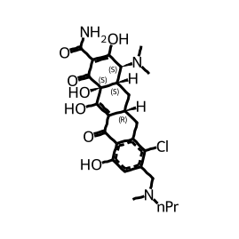 CCCN(C)Cc1cc(O)c2c(c1Cl)C[C@H]1C[C@H]3[C@H](N(C)C)C(O)=C(C(N)=O)C(=O)[C@@]3(O)C(O)=C1C2=O